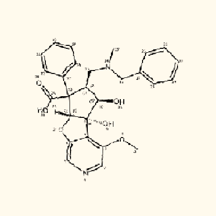 COc1cncc2c1[C@]1(O)[C@H](O)[C@H](CN(C)Cc3ccccc3)C(C(=O)O)(c3ccccc3)[C@H]1O2